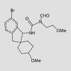 COCCN(C=O)C(=O)NC1c2cc(Br)ccc2CC12CCC(OC)CC2